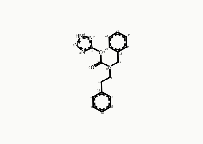 O=C(Oc1nn[nH]n1)N(CCc1ccccc1)Cc1ccccc1